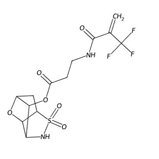 C=C(C(=O)NCCC(=O)OC1C2CC3C(O2)C1NS3(=O)=O)C(F)(F)F